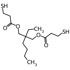 CCCCC(CC)(COC(=O)CCS)COC(=O)CCS